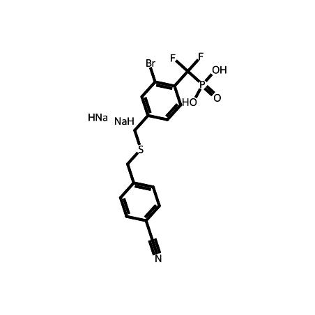 N#Cc1ccc(CSCc2ccc(C(F)(F)P(=O)(O)O)c(Br)c2)cc1.[NaH].[NaH]